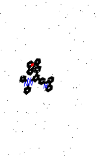 c1ccc(-c2nc(-c3ccccc3)nc(-c3cc(-c4ccc(-c5nc6ccccc6c6ccccc56)cc4)cc(-c4ccc5c(c4)C(c4ccccc4)(c4ccccc4)c4ccccc4-5)c3)n2)cc1